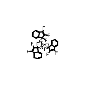 FC1=C(F)C(F)(OB(OC2(F)C(F)=C(F)c3ccccc32)OC2(F)C(F)=C(F)c3ccccc32)c2ccccc21